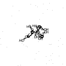 OCCOc1ccc(Cc2ccc(OCCO)c(CN(CCO)c3nc(N(CCO)Cc4ccccc4OCCO)nc(N(CCO)Cc4ccccc4OCCO)n3)c2)cc1